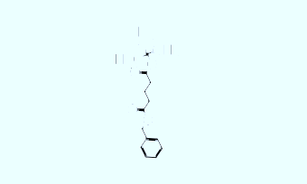 CC(C)(C)OC(=O)CCCC(=O)OCc1ccccc1